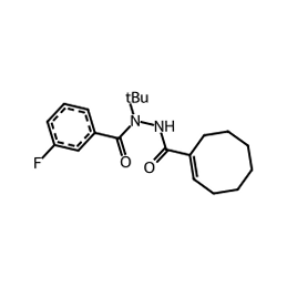 CC(C)(C)N(NC(=O)/C1=C/CCCCCC1)C(=O)c1cccc(F)c1